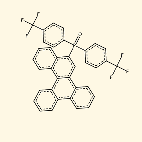 O=P(c1ccc(C(F)(F)F)cc1)(c1ccc(C(F)(F)F)cc1)c1cc2c3ccccc3c3ccccc3c2c2ccccc12